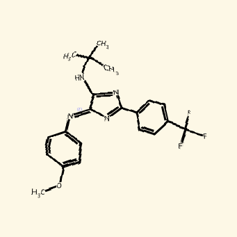 COc1ccc(/N=C2\N=C(c3ccc(C(F)(F)F)cc3)N=C2NC(C)(C)C)cc1